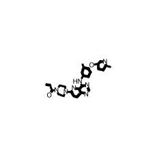 C=CC(=O)N1CCN(c2ccc3ncnc(Nc4ccc(Oc5ccc(C)nc5)c(C)c4)c3n2)CC1